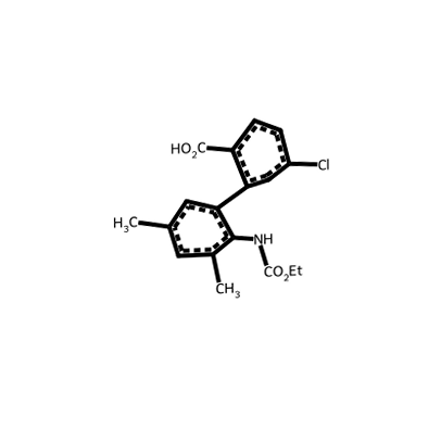 CCOC(=O)Nc1c(C)cc(C)cc1-c1cc(Cl)ccc1C(=O)O